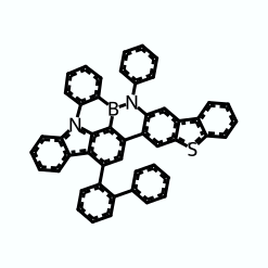 c1ccc(-c2ccccc2-c2cc3c4c5c2c2ccccc2n5-c2ccccc2B4N(c2ccccc2)c2cc4c(cc2-3)sc2ccccc24)cc1